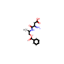 CC(COC(=O)c1ccccc1)NC(=O)C(N)CC(=O)O